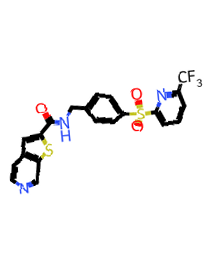 O=C(NCc1ccc(S(=O)(=O)c2cccc(C(F)(F)F)n2)cc1)c1cc2ccncc2s1